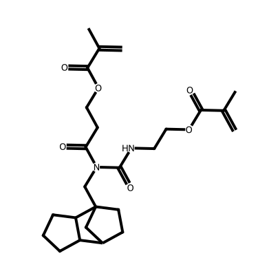 C=C(C)C(=O)OCCNC(=O)N(CC12CCC(C1)C1CCCC12)C(=O)CCOC(=O)C(=C)C